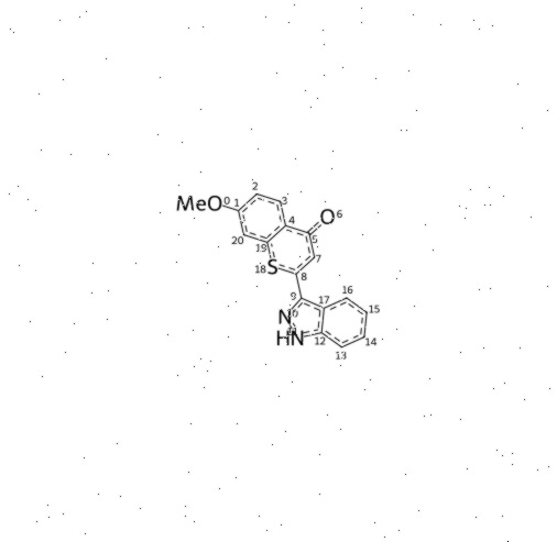 COc1ccc2c(=O)cc(-c3n[nH]c4ccccc34)sc2c1